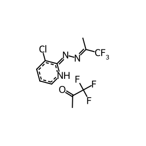 CC(=NN=c1[nH]cccc1Cl)C(F)(F)F.CC(=O)C(F)(F)F